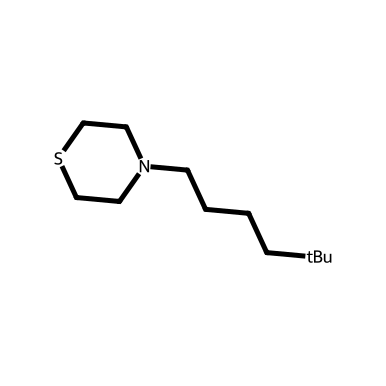 CC(C)(C)CCCCN1CCSCC1